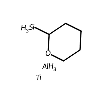 [AlH3].[SiH3]C1CCCCO1.[Ti]